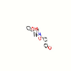 COc1cccc(-c2cccc(C(=O)CN3C[C@@H]4CC(O)(Cc5ccccc5)C[C@@H]4C3)c2)c1